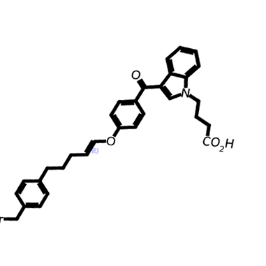 CC(C)Cc1ccc(CCC/C=C/Oc2ccc(C(=O)c3cn(CCCC(=O)O)c4ccccc34)cc2)cc1